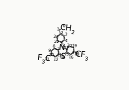 C=Cc1ccc(N2c3ccc(C(F)(F)F)cc3Sc3cc(C(F)(F)F)ccc32)cc1